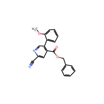 COc1ccccc1-c1cnc(C#N)cc1C(=O)OCc1ccccc1